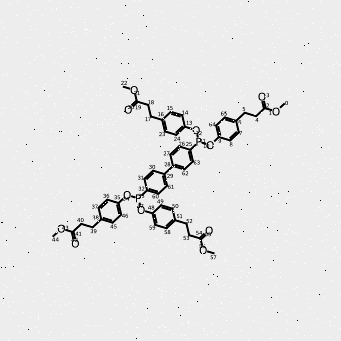 COC(=O)CCc1ccc(OP(Oc2ccc(CCC(=O)OC)cc2)c2ccc(-c3ccc(P(Oc4ccc(CCC(=O)OC)cc4)Oc4ccc(CCC(=O)OC)cc4)cc3)cc2)cc1